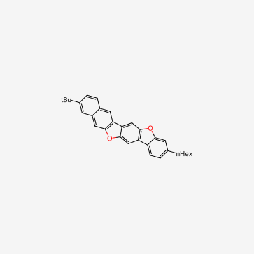 CCCCCCc1ccc2c(c1)oc1cc3c(cc12)oc1cc2cc(C(C)(C)C)ccc2cc13